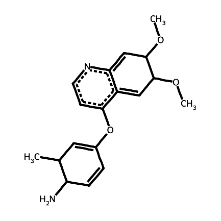 COC1C=c2nccc(OC3=CC(C)C(N)C=C3)c2=CC1OC